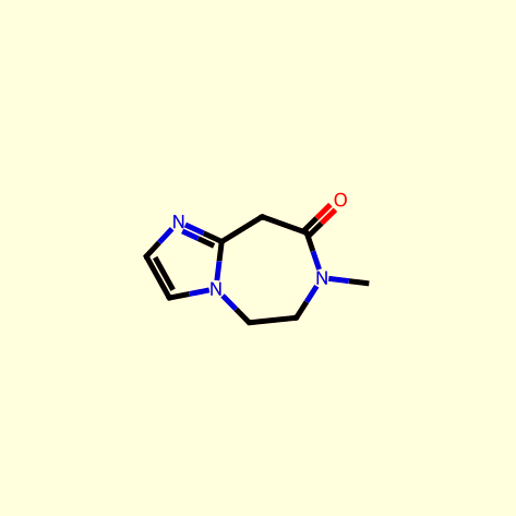 CN1CCn2ccnc2CC1=O